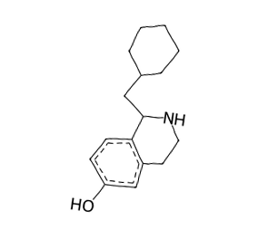 Oc1ccc2c(c1)CCNC2CC1CCCCC1